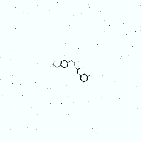 C[C@H](Cc1ccc(C[C@@H](C)N)cc1)NC(=O)[C@H](O)c1cccc(Cl)c1